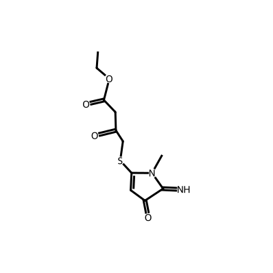 CCOC(=O)CC(=O)CSC1=CC(=O)C(=N)N1C